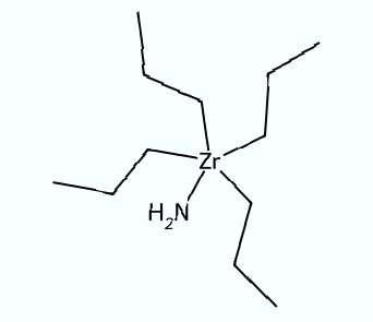 CC[CH2][Zr]([NH2])([CH2]CC)([CH2]CC)[CH2]CC